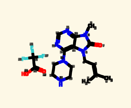 CC(C)=CCn1c(=O)n(C)c2ncnc(N3CCNCC3)c21.O=C(O)C(F)(F)F